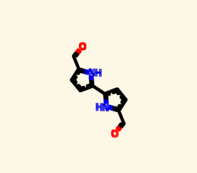 O=Cc1ccc(-c2ccc(C=O)[nH]2)[nH]1